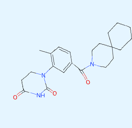 Cc1ccc(C(=O)N2CCC3(CCCCC3)CC2)cc1N1CCC(=O)NC1=O